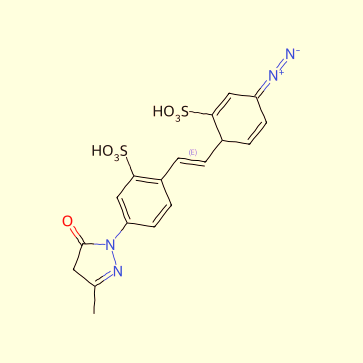 CC1=NN(c2ccc(/C=C/C3C=CC(=[N+]=[N-])C=C3S(=O)(=O)O)c(S(=O)(=O)O)c2)C(=O)C1